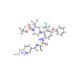 CCCC/C=C\C(=C/N)c1nc(C(=O)Nc2ccc(Oc3ccccc3)c(C(F)(F)F)c2N2CCN(C(=O)OC(C)(C)C)C(C(C)C)C2)cs1